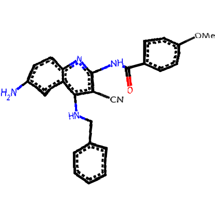 COc1ccc(C(=O)Nc2nc3ccc(N)cc3c(NCc3ccccc3)c2C#N)cc1